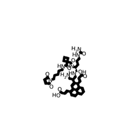 NCC(CNC[C@H](CCCNC(N)=O)NC(=O)C1(C(=O)NCCCCCN2C(=O)C=CC2=O)CCC1)C1=Cc2c(C=CC(=O)O)ccc3cccc(c23)C1C=CC(=O)O